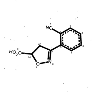 N#Cc1ccccc1C1=NOC(C(=O)O)C1